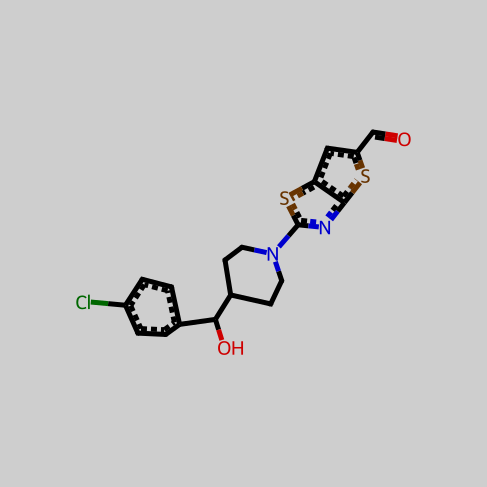 O=Cc1cc2sc(N3CCC(C(O)c4ccc(Cl)cc4)CC3)nc2s1